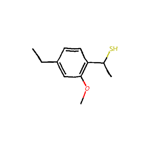 CCc1ccc(C(C)S)c(OC)c1